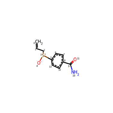 C=CC[S+]([O-])c1ccc(C(N)=O)cc1